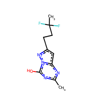 Cc1nc(O)n2nc(CCC(C)(F)F)cc2n1